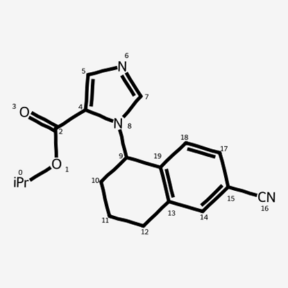 CC(C)OC(=O)c1cncn1C1CCCc2cc(C#N)ccc21